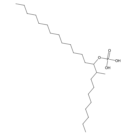 CCCCCCCCCCCCCC(OP(=O)(O)O)C(C)CCCCCCCC